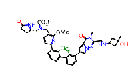 COc1nc(-c2cccc(-c3cccc(-c4cc5c(=O)n(C)c(CNC6CC(C)(O)C6)nn5c4)c3Cl)c2Cl)ccc1CN(C[C@@H]1CCC(=O)N1)C(=O)O